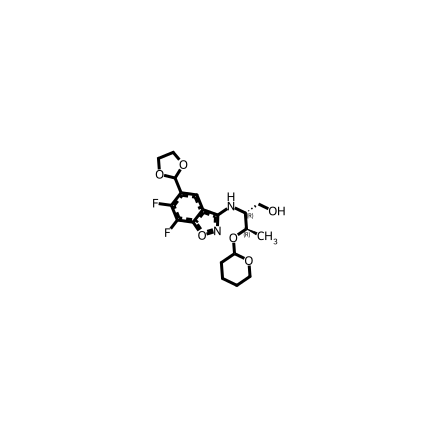 C[C@@H](OC1CCCCO1)[C@@H](CO)Nc1noc2c(F)c(F)c(C3OCCO3)cc12